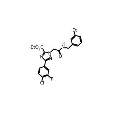 CCOC(=O)c1nc(-c2ccc(Cl)c(F)c2)nn1CC(=O)NCc1cccc(CC)c1